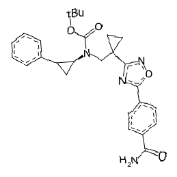 CC(C)(C)OC(=O)N(CC1(c2noc(-c3ccc(C(N)=O)cc3)n2)CC1)[C@H]1CC1c1ccccc1